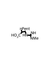 CCCCCC(CNC(=N)NC)C(=O)O